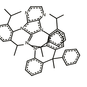 CC(C)c1cccc(C(C)C)c1-n1c(=NN2c3ccccc3C(C)(c3ccccc3)c3ccccc32)n(-c2c(C(C)C)cccc2C(C)C)c2nccnc21